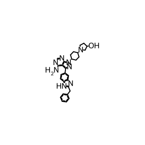 Nc1ncnc2c1c(-c1ccc3[nH]c(Cc4ccccc4)nc3c1)nn2[C@H]1CC[C@H](N2CCC(O)C2)CC1